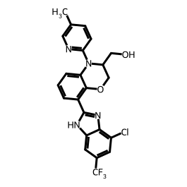 Cc1ccc(N2c3cccc(-c4nc5c(Cl)cc(C(F)(F)F)cc5[nH]4)c3OCC2CO)nc1